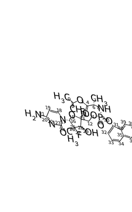 CC(C)OC(=O)[C@H](C)N[P@](=O)(OC[C@@]1(F)O[C@@H](n2ccc(N)nc2=O)[C@](C)(F)[C@@H]1O)Oc1cccc2ccccc12